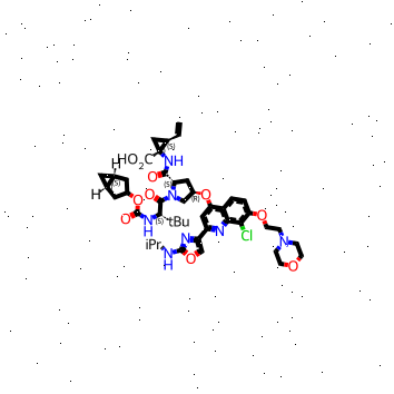 C=C[C@@H]1C[C@]1(NC(=O)[C@@H]1C[C@@H](Oc2cc(-c3coc(NC(C)C)n3)nc3c(Cl)c(OCCN4CCOCC4)ccc23)CN1C(=O)[C@@H](NC(=O)OC1C[C@@H]2C[C@@H]2C1)C(C)(C)C)C(=O)O